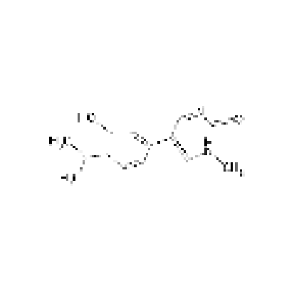 CN/C=C(\C=N/C=O)C(/C=C\CC(C)C)=C/CO